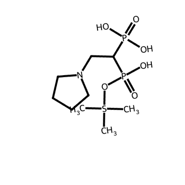 CS(C)(C)OP(=O)(O)C(CN1CCCC1)P(=O)(O)O